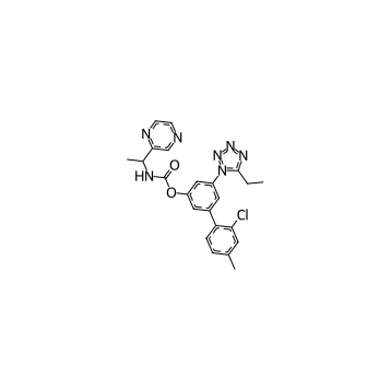 CCc1nnnn1-c1cc(OC(=O)NC(C)c2cnccn2)cc(-c2ccc(C)cc2Cl)c1